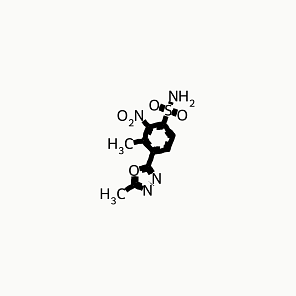 Cc1nnc(-c2ccc(S(N)(=O)=O)c([N+](=O)[O-])c2C)o1